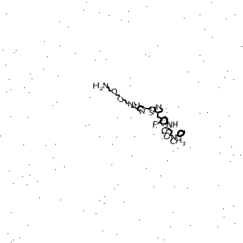 CN(C(=O)CC(=O)Nc1ccc(CC2=CC=NC3C=C(c4ccc(CNCCOCCOCCN)cn4)SC23)c(F)c1)c1ccccc1